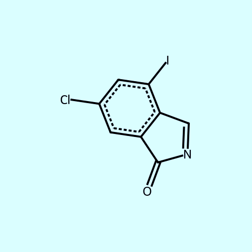 O=C1N=Cc2c(I)cc(Cl)cc21